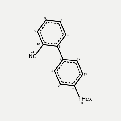 CCCCCCc1ccc(-c2ccccc2C#N)cc1